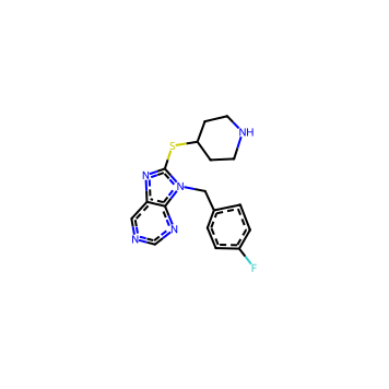 Fc1ccc(Cn2c(SC3CCNCC3)nc3cncnc32)cc1